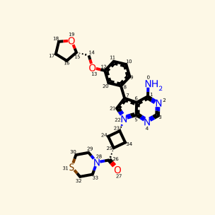 Nc1ncnc2c1c(-c1cccc(OC[C@@H]3CCCO3)c1)cn2[C@H]1C[C@@H](C(=O)N2CCSCC2)C1